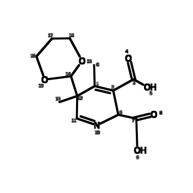 CC1=C(C(=O)O)C(C(=O)O)N=CC1(C)C1OCCCO1